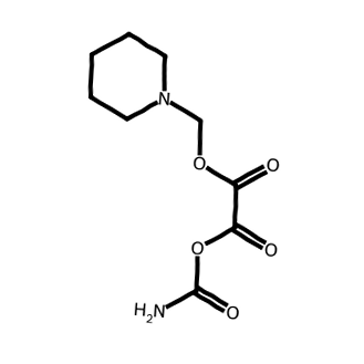 NC(=O)OC(=O)C(=O)OCN1CCCCC1